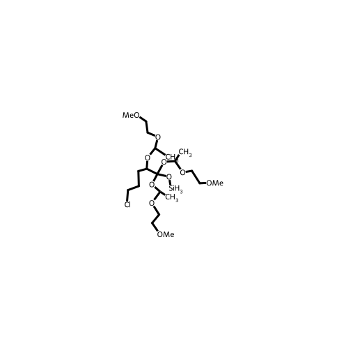 COCCOC(C)OC(CCCCl)C(O[SiH3])(OC(C)OCCOC)OC(C)OCCOC